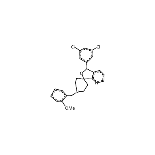 COc1ccccc1CN1CCC2(CC1)OC(c1cc(Cl)cc(Cl)c1)c1cccnc12